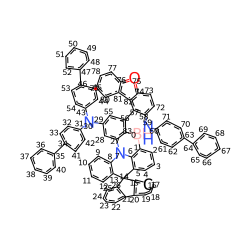 B1c2cccc3c2N(c2ccccc2C32c3ccccc3-c3ccccc32)c2cc(N(c3ccc(-c4ccccc4)cc3)c3ccc(-c4ccccc4)cc3)cc(-c3c(Nc4ccc(-c5ccccc5)cc4)ccc4oc5ccccc5c34)c21